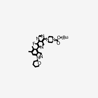 Cc1cc2c(cnn2C2CCCCO2)c(-c2ncc3c(N4CCN(C(=O)OC(C)(C)C)CC4)ncnc3c2F)c1C